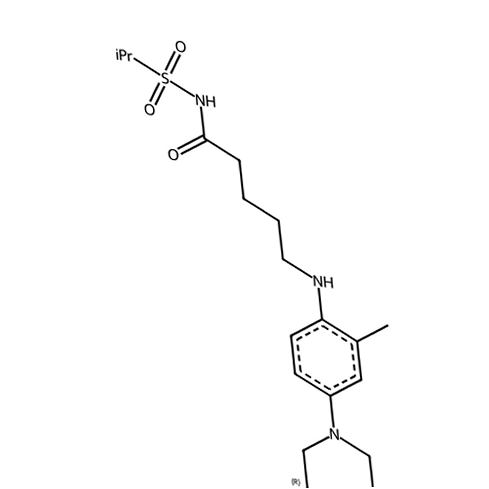 Cc1cc(N2C[C@@H](C)O[C@@H](C)C2)ccc1NCCCCC(=O)NS(=O)(=O)C(C)C